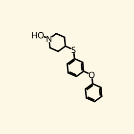 ON1CCC(Sc2cccc(Oc3ccccc3)c2)CC1